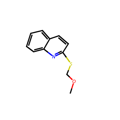 COCSc1ccc2ccccc2n1